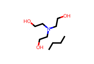 CCCC.OCCN(CCO)CCO